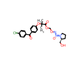 CC(C)(Oc1ccc(C(=O)c2ccc(Cl)cc2)cc1)C(=O)OCO/N=[N+](\[O-])N1CCC[C@H]1CO